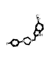 [C-]#[N+]c1ccc2[nH]c(CN3CCN(c4ccc(F)cc4)CC3)cc2c1